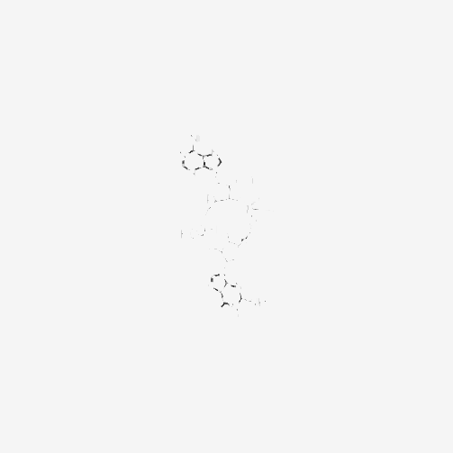 CC1C2OP(=O)(O)OC[C@H]3O[C@@H](n4cnc5c(N)ncnc54)C(O)C3OP(=O)(O)OC[C@H]1O[C@H]2n1cnc2c(=O)[nH]c(N)nc21